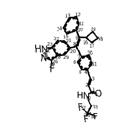 O=C(C=Cc1ccc(C(=C(c2ccccc2)C2CCC2)c2ccc3[nH]nc(F)c3c2)cc1)NCC(F)(F)F